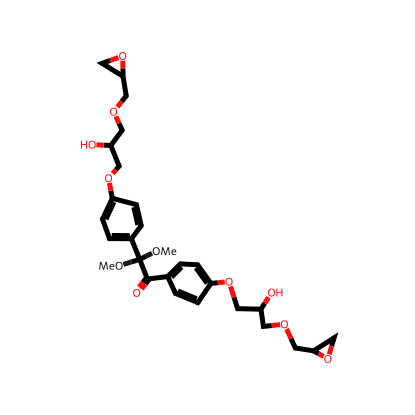 COC(OC)(C(=O)c1ccc(OCC(O)COCC2CO2)cc1)c1ccc(OCC(O)COCC2CO2)cc1